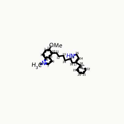 COc1ccc2c(ccn2C)c1CCCCC1CC(c2ccccc2)=CCN1